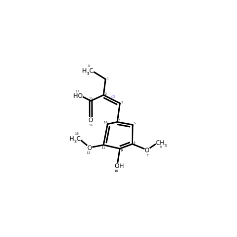 CC/C(=C/c1cc(OC)c(O)c(OC)c1)C(=O)O